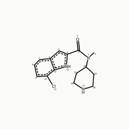 CN(C(=O)c1cc2cccc(Cl)c2[nH]1)C1CCNCC1